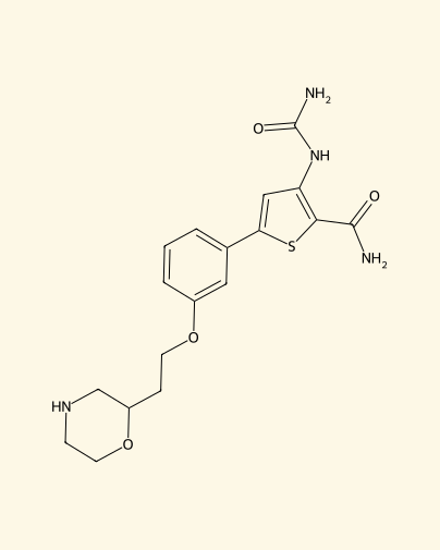 NC(=O)Nc1cc(-c2cccc(OCCC3CNCCO3)c2)sc1C(N)=O